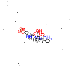 [2H]N[C@@H](Cc1ccc(OS(=O)(=O)O)cc1)C(=O)CN(C)[C@H](CC(=O)O)C(=O)N(C)[C@@H](Cc1ccccc1)C(N)=O